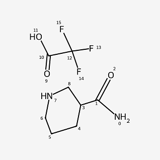 NC(=O)C1CCCNC1.O=C(O)C(F)(F)F